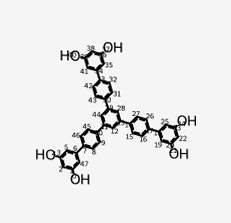 Oc1cc(O)cc(-c2ccc(-c3cc(-c4ccc(-c5cc(O)cc(O)c5)cc4)cc(-c4ccc(-c5cc(O)cc(O)c5)cc4)c3)cc2)c1